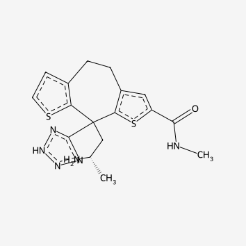 CNC(=O)c1cc2c(s1)C(C[C@H](C)N)(c1nn[nH]n1)c1sccc1CC2